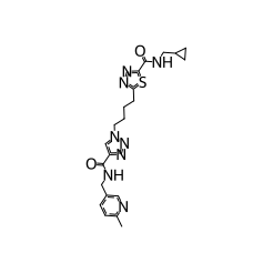 Cc1ccc(CNC(=O)c2cn(CCCCc3nnc(C(=O)NCC4CC4)s3)nn2)cn1